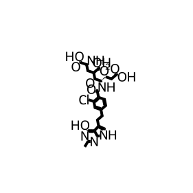 Cc1nc(O)c2c(CCc3ccc(C(=O)N[C@@H](CCC(=O)O)C(=O)C(C[C@H](N)C(=O)O)C(=O)O)c(Cl)c3)c[nH]c2n1